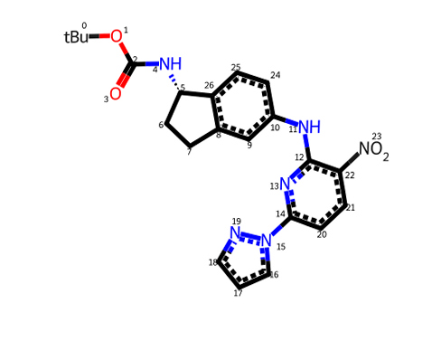 CC(C)(C)OC(=O)N[C@H]1CCc2cc(Nc3nc(-n4cccn4)ccc3[N+](=O)[O-])ccc21